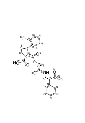 O=C(NCC(=O)N1[C@@H](C(=O)O)CS[C@H]1c1ccccc1F)NC[C@@H](C(=O)O)c1ccccc1